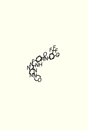 COc1ccc(NC(=O)c2ccc(F)c(Nc3ncnc4cnc(N5CCOCC5)nc34)c2)cc1C(F)(F)F